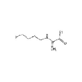 C=C(NCCCCI)C(=O)CC